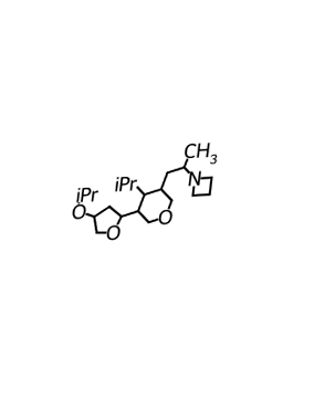 CC(C)OC1COC(C2COCC(CC(C)N3CCC3)C2C(C)C)C1